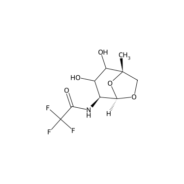 C[C@@]12CO[C@H](O1)[C@@H](NC(=O)C(F)(F)F)C(O)C2O